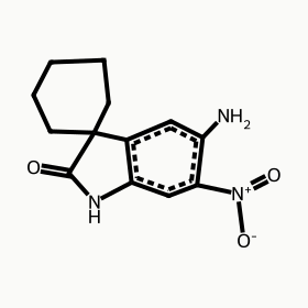 Nc1cc2c(cc1[N+](=O)[O-])NC(=O)C21CCCCC1